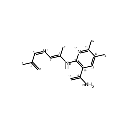 C=C(C)/C=N\C=C(/C)Nc1nc(C)c(C)cc1C(=C)N